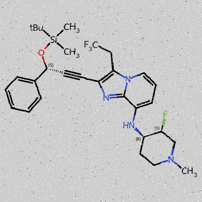 CN1CC[C@@H](Nc2cccn3c(CC(F)(F)F)c(C#C[C@@H](O[Si](C)(C)C(C)(C)C)c4ccccc4)nc23)[C@@H](F)C1